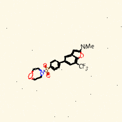 CNc1cc2cc(-c3ccc(S(=O)(=O)N4CCOCC4)cc3)cc(C(F)(F)F)c2o1